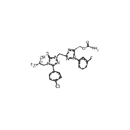 NC(=O)OCc1nc(Cn2nc(-c3ccc(Cl)cc3)n(C[C@H](O)C(F)(F)F)c2=O)nn1-c1cccc(F)c1